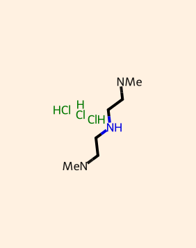 CNCCNCCNC.Cl.Cl.Cl